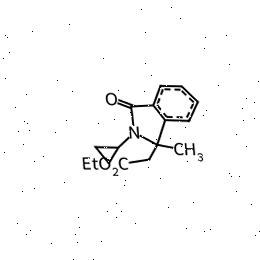 CCOC(=O)CC1(C)c2ccccc2C(=O)N1C1CC1